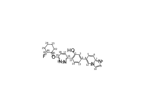 Oc1cc(-c2ccc3nccn3c2)ccc1-c1ccc(O[C@H]2CCCC[C@H]2F)nn1